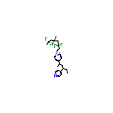 CCC(CC(C)c1cc[n+](CCC(F)(F)CC(F)(F)CC(C)(F)F)cc1)c1ccncc1